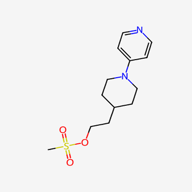 CS(=O)(=O)OCCC1CCN(c2ccncc2)CC1